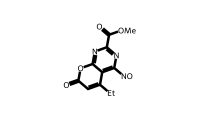 CCc1cc(=O)oc2nc(C(=O)OC)nc(N=O)c12